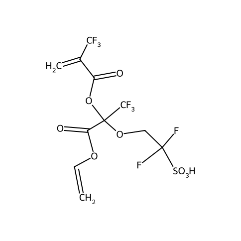 C=COC(=O)C(OCC(F)(F)S(=O)(=O)O)(OC(=O)C(=C)C(F)(F)F)C(F)(F)F